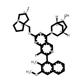 COc1cc2ccccc2c(-c2ncc3c(N4C[C@@H]5C[C@H](C4)[C@H](O)C5)nc(OC[C@@]45CCCN4C[C@H](F)C5)nc3c2F)c1C